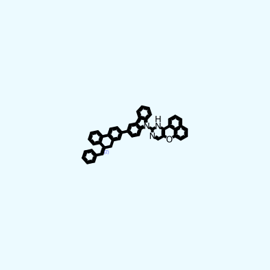 C1=NC(n2c3ccccc3c3cc(-c4ccc5c(c4)C/C(=C/c4ccccc4)c4ccccc4-5)ccc32)NC2=C1Oc1cccc3cccc2c13